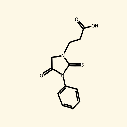 O=C(O)CCN1CC(=O)N(c2ccccc2)C1=S